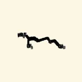 C=CO[CH]CC=C(C)C(=O)O